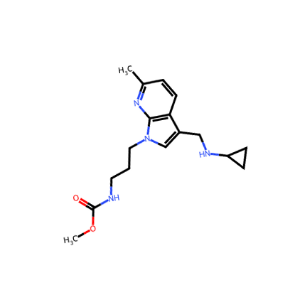 COC(=O)NCCCn1cc(CNC2CC2)c2ccc(C)nc21